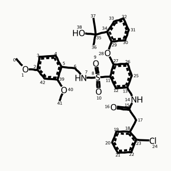 COc1ccc(CNS(=O)(=O)c2cc(NC(=O)Cc3ccccc3Cl)ccc2Oc2ccccc2C(C)(C)O)c(OC)c1